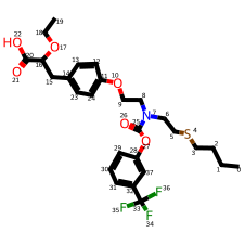 CCCCSCCN(CCOc1ccc(CC(OCC)C(=O)O)cc1)C(=O)Oc1cccc(C(F)(F)F)c1